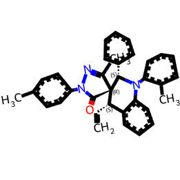 C=C[C@H]1c2ccccc2N(c2ccccc2C)[C@@H](c2ccccc2)[C@]12C(=O)N(c1ccc(C)cc1)N=C2C